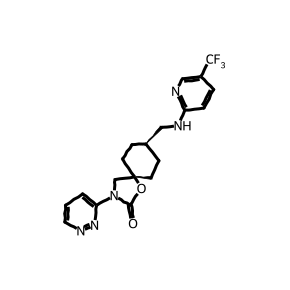 O=C1O[C@]2(CC[C@H](CNc3ccc(C(F)(F)F)cn3)CC2)CN1c1cccnn1